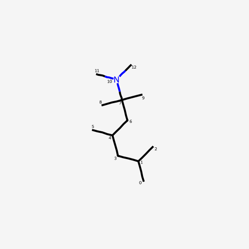 CC(C)CC(C)CC(C)(C)N(C)C